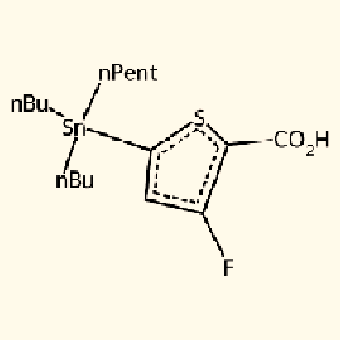 CCCC[CH2][Sn]([CH2]CCC)([CH2]CCC)[c]1cc(F)c(C(=O)O)s1